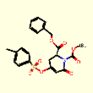 Cc1ccc(S(=O)(=O)OC2=CC(=O)N(C(=O)OC(C)(C)C)[C@H](C(=O)OCc3ccccc3)C2)cc1